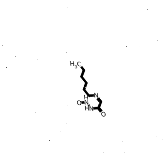 CCCCCC1N=CC(=O)N[NH+]1[O-]